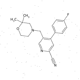 CC1(C)CN(Cc2cnc(C#N)cc2-c2ccc(F)cc2)CCO1